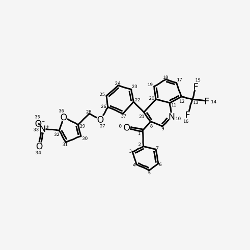 O=C(c1ccccc1)c1cnc2c(C(F)(F)F)cccc2c1-c1cccc(OCc2ccc([N+](=O)[O-])o2)c1